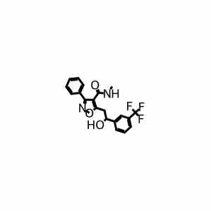 CNC(=O)c1c(-c2ccccc2)noc1CC(O)c1cccc(C(F)(F)F)c1